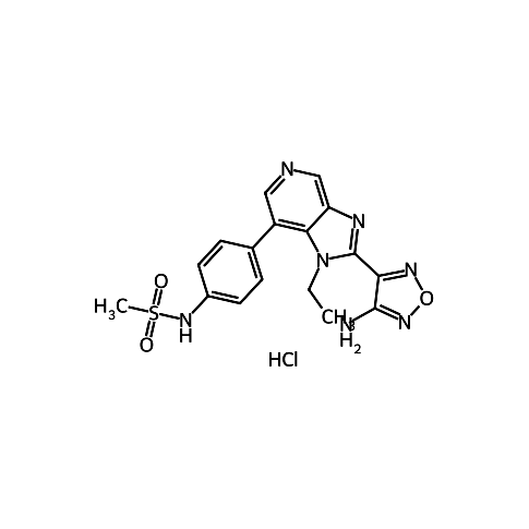 CCn1c(-c2nonc2N)nc2cncc(-c3ccc(NS(C)(=O)=O)cc3)c21.Cl